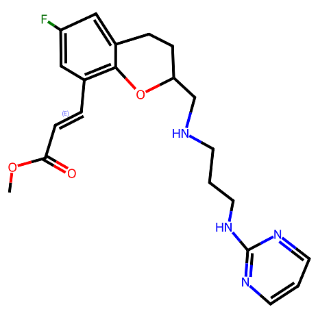 COC(=O)/C=C/c1cc(F)cc2c1OC(CNCCCNc1ncccn1)CC2